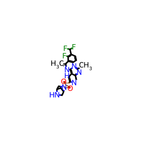 Cc1nc(N[C@H](C)c2cccc(C(F)F)c2F)c2cc(S(=O)(=O)N3CC4CC3CN4)ncc2n1